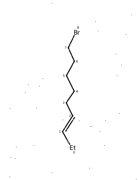 CCC=CCCCCCBr